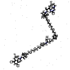 C=C/C(=C\C(=C)S(=O)(=O)NCCOCCOCCOCCN/C=C(\N)COCc1cn(CCOCCOCCOCCNS(=O)(=O)/C(C=C)=C/C(=C)C2/C=C/C(Cl)=C\C(Cl)=C\CN(C)C2)nn1)C1CN(C)Cc2c(Cl)cc(Cl)cc21